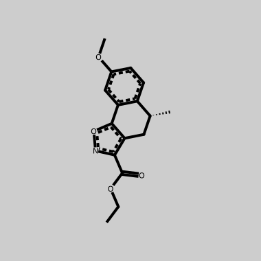 CCOC(=O)c1noc2c1C[C@@H](C)c1ccc(OC)cc1-2